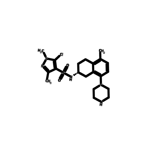 Cc1ccc(N2CCNCC2)c2c1CC[C@@H](NS(=O)(=O)c1c(C)nn(C)c1Cl)C2